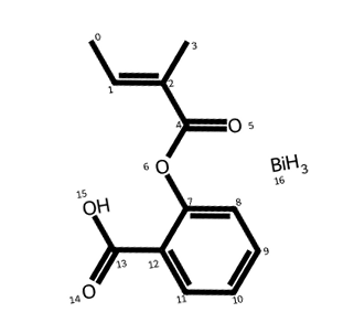 CC=C(C)C(=O)Oc1ccccc1C(=O)O.[BiH3]